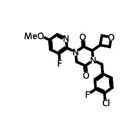 COc1cnc(N2CC(=O)N(Cc3ccc(Cl)c(F)c3)C(C3COC3)C2=O)c(F)c1